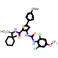 COc1ccc(-c2cc(NC(=O)Nc3c(Cl)cc(OC(F)(F)F)cc3Cl)c(C(=O)N[C@H](C(=O)O)C3(C)CCCCC3)s2)cc1